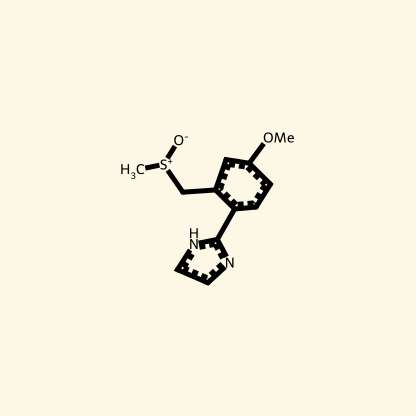 COc1ccc(-c2ncc[nH]2)c(C[S+](C)[O-])c1